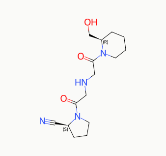 N#C[C@@H]1CCCN1C(=O)CNCC(=O)N1CCCC[C@@H]1CO